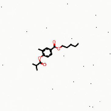 CCCCCOC(=O)c1ccc(OC(=O)C(C)C)c(C)c1